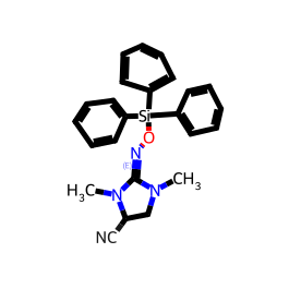 CN1CC(C#N)N(C)/C1=N/O[Si](c1ccccc1)(c1ccccc1)c1ccccc1